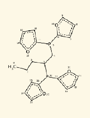 CCCC(CP(c1ccco1)c1ccco1)P(c1ccco1)c1ccco1